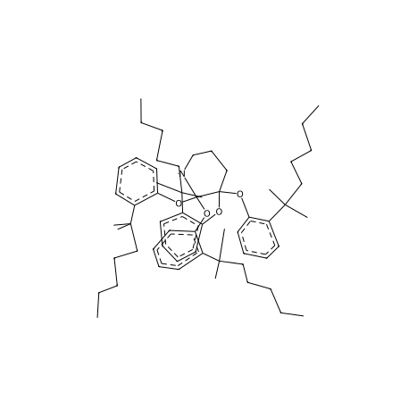 CCCCCC(C)(C)c1ccccc1OC1(Oc2ccccc2C(C)(C)CCCCC)CCC[N]C1(Oc1ccccc1C(C)(C)CCCCC)Oc1ccccc1C(C)(C)CCCCC